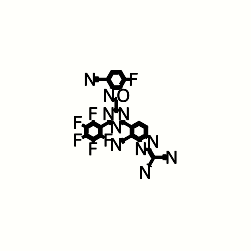 N#CC(C#N)=C1N=c2ccc(-c3nc(-c4nc5c(C#N)ccc(F)c5o4)nc(-c4c(F)c(F)c(F)c(F)c4F)n3)c(C#N)c2=N1